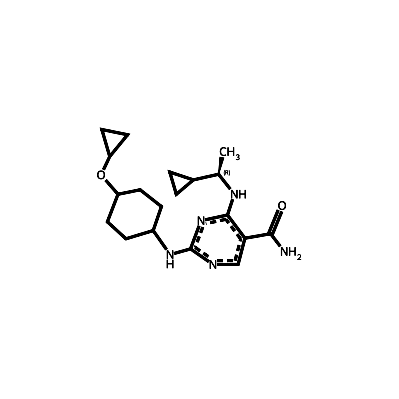 C[C@@H](Nc1nc(NC2CCC(OC3CC3)CC2)ncc1C(N)=O)C1CC1